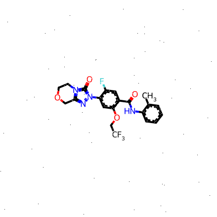 Cc1ccccc1NC(=O)c1cc(F)c(-n2nc3n(c2=O)CCOC3)cc1OCC(F)(F)F